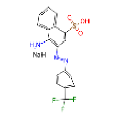 Nc1c(/N=N/c2ccc(C(F)(F)F)cc2)cc(S(=O)(=O)O)c2ccccc12.[NaH]